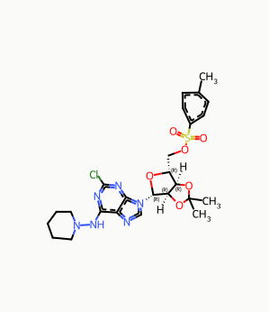 Cc1ccc(S(=O)(=O)OC[C@H]2O[C@@H](n3cnc4c(NN5CCCCC5)nc(Cl)nc43)[C@@H]3OC(C)(C)O[C@@H]32)cc1